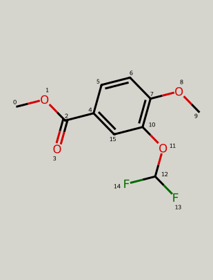 COC(=O)c1ccc(OC)c(OC(F)F)c1